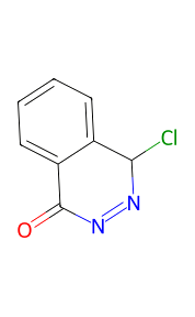 O=C1N=NC(Cl)c2ccccc21